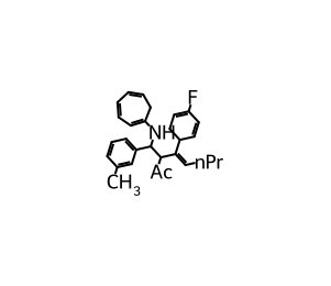 CCC/C=C(\C1C=CC(F)=CC1)C(C(C)=O)C(NC1=CC=CC=CC1)c1cccc(C)c1